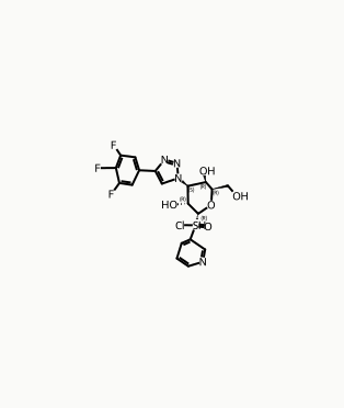 O=[SH](Cl)(c1cccnc1)[C@H]1O[C@H](CO)[C@H](O)[C@H](n2cc(-c3cc(F)c(F)c(F)c3)nn2)[C@H]1O